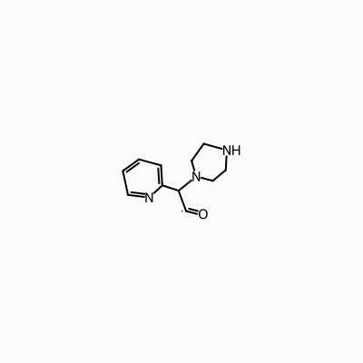 O=[C]C(c1ccccn1)N1CCNCC1